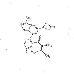 Cc1ncc2c(-c3ccc(F)cc3C(=O)N(C)C(C)C)cc(C3CNC3)cn12